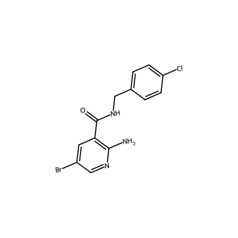 Nc1ncc(Br)cc1C(=O)NCc1ccc(Cl)cc1